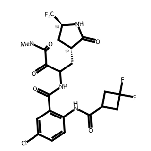 CNC(=O)C(=O)C(C[C@@H]1C[C@@H](C(F)(F)F)NC1=O)NC(=O)c1cc(Cl)ccc1NC(=O)C1CC(F)(F)C1